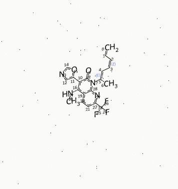 C=C/C=C\C=C(/C)n1c(=O)c(-c2cnco2)c(NC)c2ccc(C(F)(F)F)nc21